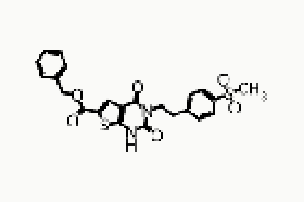 CS(=O)(=O)c1ccc(CCn2c(=O)[nH]c3sc(C(=O)OCc4ccccc4)cc3c2=O)cc1